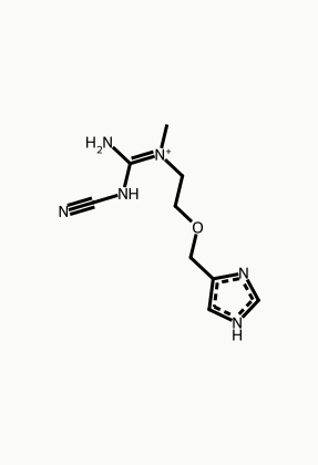 C[N+](CCOCc1c[nH]cn1)=C(N)NC#N